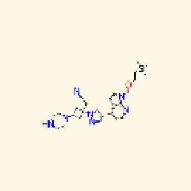 C[Si](C)(C)CCOCn1ccc2c(-c3cnn([C@]4(CC#N)C[C@@H](N5CCNCC5)C4)c3)ccnc21